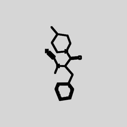 CC1CCN(C(=O)C(Cc2ccccc2)N(C)C#N)CC1